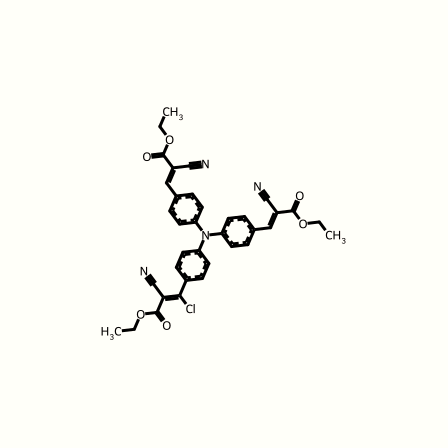 CCOC(=O)/C(C#N)=C(\Cl)c1ccc(N(c2ccc(/C=C(\C#N)C(=O)OCC)cc2)c2ccc(/C=C(\C#N)C(=O)OCC)cc2)cc1